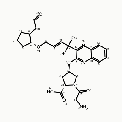 NCC(=O)N1C[C@H](Oc2nc3ccccc3nc2C(F)(F)/C=C/CO[C@@H]2CCC[C@H]2CC=O)C[C@H]1C(=O)O